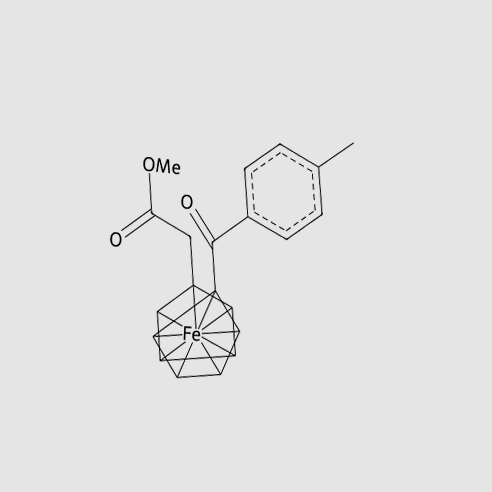 COC(=O)C[C]12[CH]3[CH]4[CH]5[CH]1[Fe]45321678[CH]2[CH]1[CH]6[C]7(C(=O)c1ccc(C)cc1)[CH]28